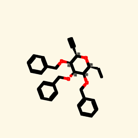 C#C[C@@H]1O[C@H](CC)[C@@H](OCc2ccccc2)[C@H](OCc2ccccc2)[C@H]1OCc1ccccc1